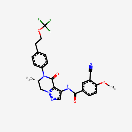 COc1ccc(C(=O)Nc2cnn3c2C(=O)N(c2ccc(CCOC(F)(F)F)cc2)[C@@H](C)C3)cc1C#N